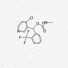 CNC(=O)OC(c1cnccc1Cl)c1ccccc1C(F)(F)F